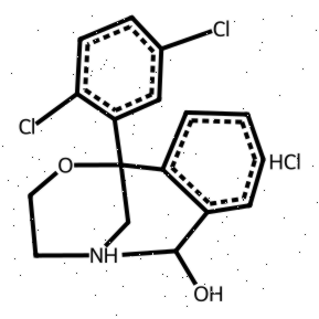 CC(O)c1ccccc1C1(c2cc(Cl)ccc2Cl)CNCCO1.Cl